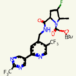 CC1C(F)CC(C(=O)NCc2cc(-c3cnc(C(F)(F)F)nc3)ncc2C(F)(F)F)N1C(=O)OC(C)(C)C